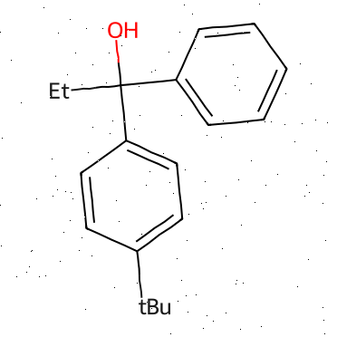 CCC(O)(c1ccccc1)c1ccc(C(C)(C)C)cc1